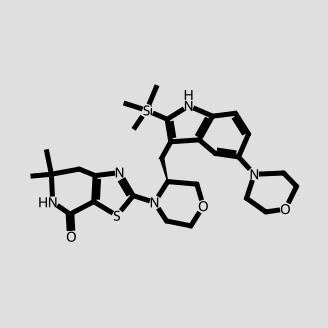 CC1(C)Cc2nc(N3CCOC[C@@H]3Cc3c([Si](C)(C)C)[nH]c4ccc(N5CCOCC5)cc34)sc2C(=O)N1